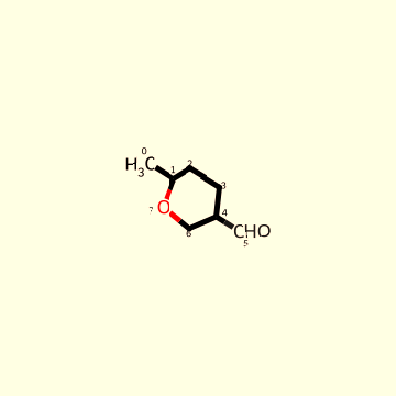 CC1CCC(C=O)CO1